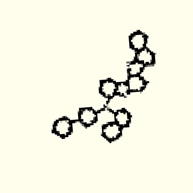 c1ccc(-c2ccc(N(c3cccc4ccccc34)c3cccc4c3sc3ccc5c6ccc7ccccc7c6sc5c34)cc2)cc1